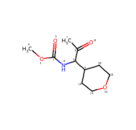 COC(=O)NC(C(C)=O)C1CCOCC1